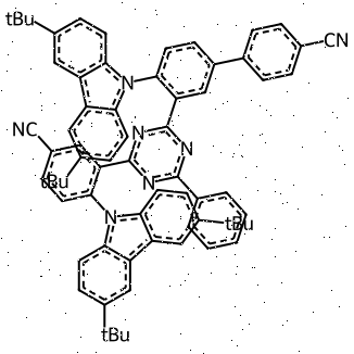 CC(C)(C)c1ccc2c(c1)c1cc(C(C)(C)C)ccc1n2-c1ccc(C#N)cc1-c1nc(-c2ccccc2)nc(-c2cc(-c3ccc(C#N)cc3)ccc2-n2c3ccc(C(C)(C)C)cc3c3cc(C(C)(C)C)ccc32)n1